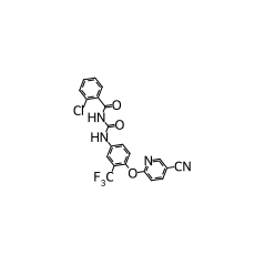 N#Cc1ccc(Oc2ccc(NC(=O)NC(=O)c3ccccc3Cl)cc2C(F)(F)F)nc1